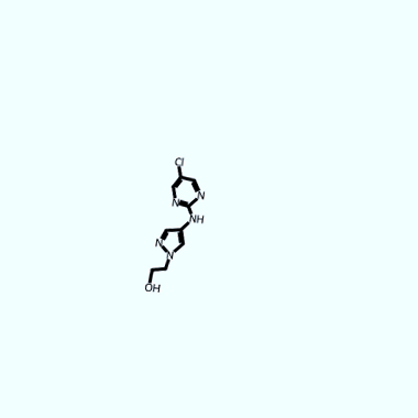 OCCn1cc(Nc2ncc(Cl)cn2)cn1